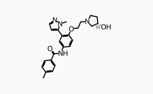 Cc1ccc(C(=O)Nc2ccc(OCCN3CC[C@H](O)C3)c(-c3ccnn3C)c2)cc1